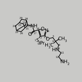 CC(C)Sc1c(OCC(C)(C)CNCCN)noc1C(=O)NC1C2CC3CC(C2)CC1C3